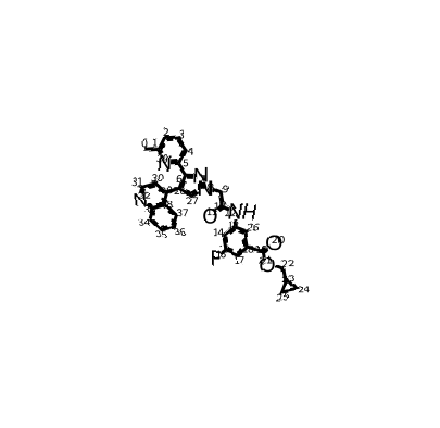 Cc1cccc(-c2nn(CC(=O)Nc3cc(F)cc(C(=O)OCC4CC4)c3)cc2-c2ccnc3ccccc23)n1